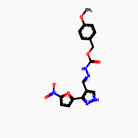 COc1ccc(COC(=O)N/N=C/c2c[nH]nc2-c2ccc([N+](=O)[O-])o2)cc1